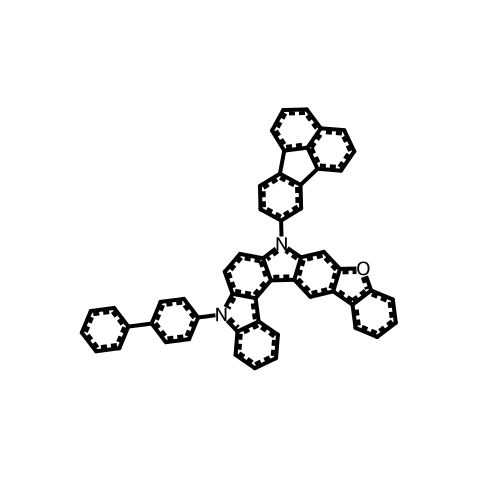 c1ccc(-c2ccc(-n3c4ccccc4c4c5c6cc7c(cc6n(-c6ccc8c(c6)-c6cccc9cccc-8c69)c5ccc43)oc3ccccc37)cc2)cc1